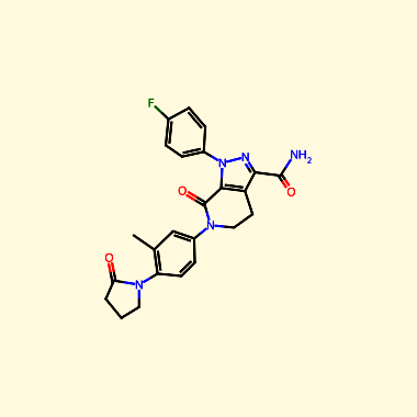 Cc1cc(N2CCc3c(C(N)=O)nn(-c4ccc(F)cc4)c3C2=O)ccc1N1CCCC1=O